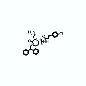 CC(C)(NC(=O)C=Cc1ccc(Cl)cc1)[C@@H]1CCN(CC(c2ccccc2)c2ccccc2)C(=O)[C@H](CCN)N1